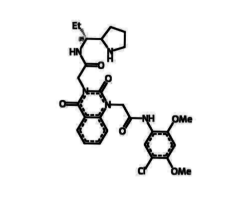 CC[C@@H](NC(=O)Cn1c(=O)c2ccccc2n(CC(=O)Nc2cc(Cl)c(OC)cc2OC)c1=O)C1CCCN1